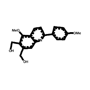 COc1ccc(-c2ccc3c(OC)c(CO)c(CO)cc3n2)cc1